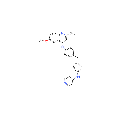 COc1ccc2nc(C)cc(Nc3ccc(Cc4ccc(Nc5ccncc5)cc4)cc3)c2c1